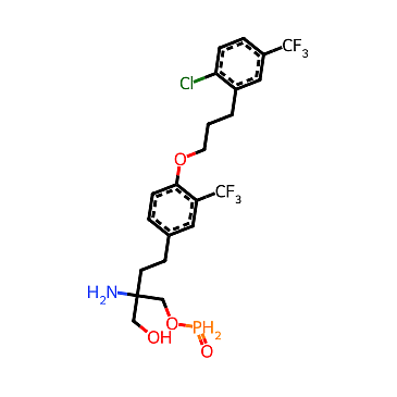 NC(CO)(CCc1ccc(OCCCc2cc(C(F)(F)F)ccc2Cl)c(C(F)(F)F)c1)CO[PH2]=O